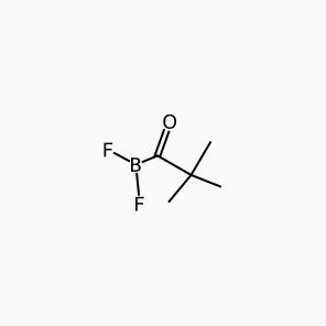 CC(C)(C)C(=O)B(F)F